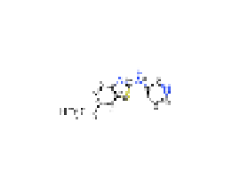 O=C(O)Cc1ccc2nc(Nc3cccnc3)sc2c1